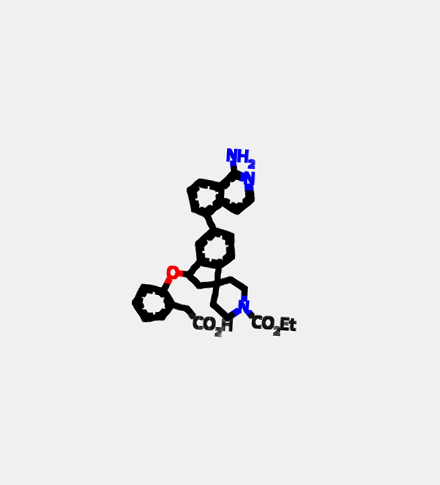 CCOC(=O)N1CCC2(CC1)CC(Oc1ccccc1CC(=O)O)c1cc(-c3cccc4c(N)nccc34)ccc12